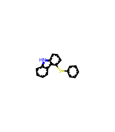 c1ccc(Sc2cccc3[nH]c4ccccc4c23)cc1